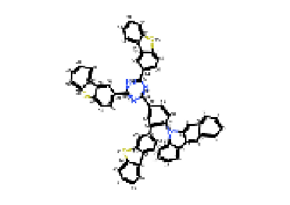 c1ccc2cc3c(cc2c1)c1ccccc1n3-c1ccc(-c2nc(-c3ccc4sc5ccccc5c4c3)nc(-c3ccc4sc5ccccc5c4c3)n2)cc1-c1ccc2c(c1)sc1ccccc12